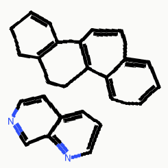 C1=CC2=C(CC1)CCc1c2ccc2ccccc12.c1cnc2cnccc2c1